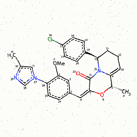 COc1cc(C=C2O[C@@H](C)C3=CCC[C@H](c4ccc(Cl)cc4)N3C2=O)ccc1-n1cnc(C)c1